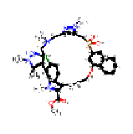 COC(=O)c1c2c3ccc(Cl)c(c3n1C)C1=C(C)N(C)NC1CN(C)Cc1cc(n(C)n1)CS(=O)(=O)c1cc(c3ccccc3c1)OCCC2